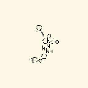 Cc1ccccc1C#Cc1cc2cnc(Nc3ccc(OC4CCN(C)CC4)cc3)nc2n(C2CCOCC2)c1=O